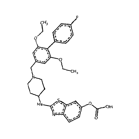 CCOc1cc(CN2CCC(Nc3nc4ccc(OC(=O)O)cc4s3)CC2)cc(OCC)c1-c1ccc(F)cc1